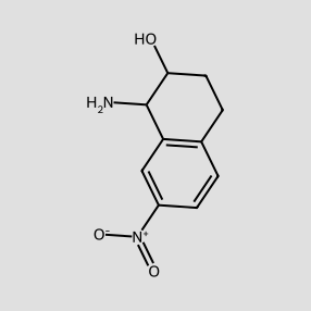 NC1c2cc([N+](=O)[O-])ccc2CCC1O